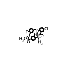 COC(=O)c1ccc([C@H](C)NC(=O)c2cc(Cl)ccc2OCc2ccc(F)c(F)c2)cc1